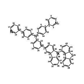 c1cncc(-c2ccc(N(c3ccc(-c4cccnc4)cc3)c3cccc(-c4ccc5c(c4)c4ccccc4n5-c4cccc5sc6ccccc6c45)c3)cc2)c1